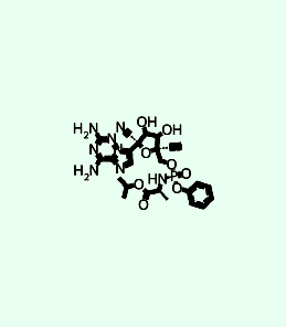 C#C[C@]1(CO[P@@](=O)(N[C@@H](C)C(=O)OC(C)C)Oc2ccccc2)O[C@@](C#N)(c2cnc3c(N)nc(N)nn23)C(O)C1O